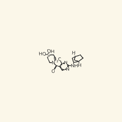 O=C(c1cnc(N[C@H]2C[C@H]3CC[C@H]2C3)nc1C(F)(F)F)N1CCS(O)(O)CC1